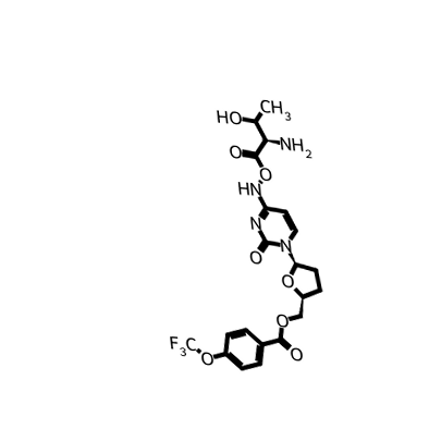 CC(O)[C@@H](N)C(=O)ONc1ccn([C@H]2CC[C@@H](COC(=O)c3ccc(OC(F)(F)F)cc3)O2)c(=O)n1